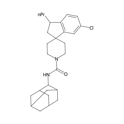 CCCC1CC2(CCN(C(=O)NC3C4CC5CC(C4)CC3C5)CC2)c2cc(Cl)ccc21